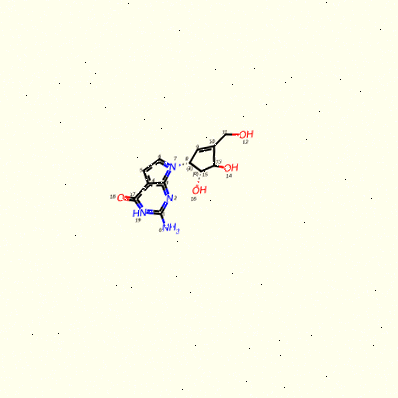 Nc1nc2c(ccn2[C@@H]2C=C(CO)C(O)[C@@H]2O)c(=O)[nH]1